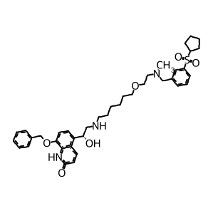 CN(CCOCCCCCCNC[C@H](O)c1ccc(OCc2ccccc2)c2[nH]c(=O)ccc12)Cc1cccc(S(=O)(=O)C2CCCC2)c1